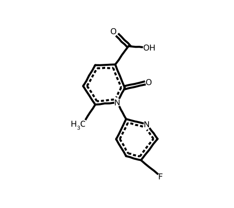 Cc1ccc(C(=O)O)c(=O)n1-c1ccc(F)cn1